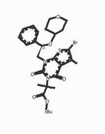 Cc1c(Br)sc2c1c(=O)n(C(C)(C)C(=O)OC(C)(C)C)c(=O)n2C[C@H](OC1CCOCC1)c1ccccc1